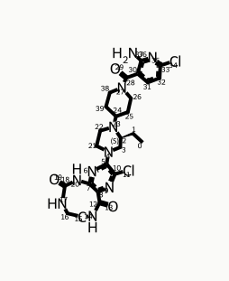 CC[C@H]1CN(c2nc3c(nc2Cl)C(=O)NCCNC(=O)N3)CCN1C1CCN(C(=O)c2ccc(Cl)nc2N)CC1